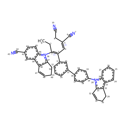 CC/C(=C(\C=C(\C#N)CC#N)c1cccc(-c2ccc(-n3c4c(c5ccccc53)CCC=C4)cc2)c1)n1c2c(c3cc(C#N)ccc31)C=CCC2